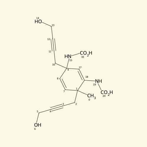 CC1(CC#CCO)C=CC(CC#CCO)(NC(=O)O)C=C1NC(=O)O